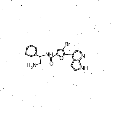 NCC(NC(=O)c1cc(Br)c(-c2ccnc3[nH]ccc23)o1)c1ccccc1